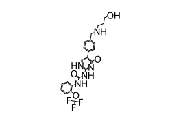 O=C(Nc1nc(=O)c(-c2ccc(CNCCCO)cc2)c[nH]1)Nc1ccccc1OC(F)(F)F